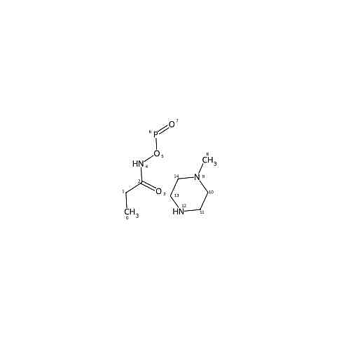 CCC(=O)NOP=O.CN1CCNCC1